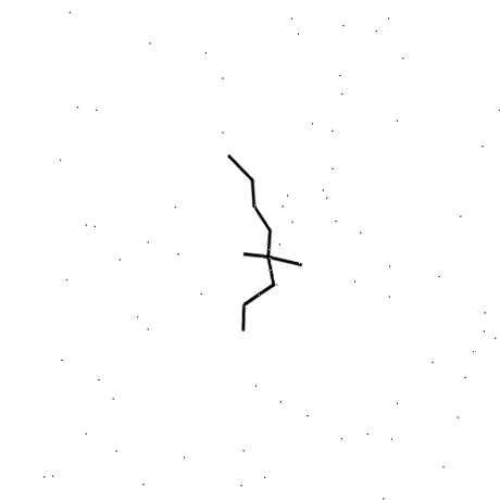 CC[CH]C(C)(C)CCCC